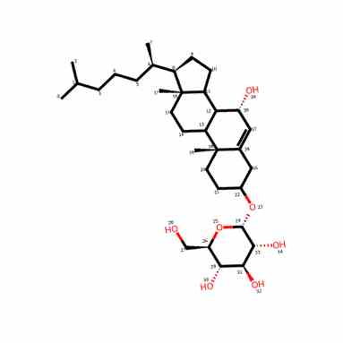 CC(C)CCC[C@@H](C)[C@H]1CCC2C3C(CC[C@@]21C)[C@@]1(C)CCC(O[C@H]2O[C@H](CO)[C@@H](O)[C@H](O)[C@H]2O)CC1=C[C@H]3O